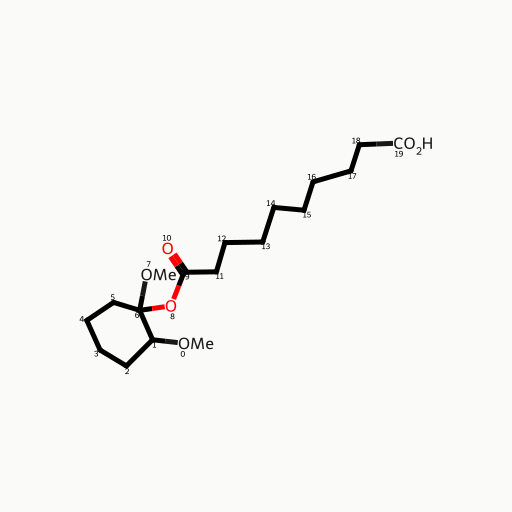 COC1CCCCC1(OC)OC(=O)CCCCCCCCC(=O)O